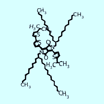 CCCCCCCCCCCCCC(CCCCCCCCCC)CN1C(=O)C2=C(c3ccc(C(C)C)s3)N(CC(CCCCCCCCCCC)CCCCCCCCCCCC)C(=O)C2=C1c1ccc(-c2ccc(C(C)C)s2)s1